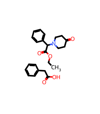 CCOC(=O)C(c1ccccc1)N1CCC(=O)CC1.O=C(O)Cc1ccccc1